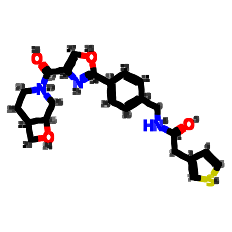 O=C(Cc1ccsc1)NCc1ccc(-c2nc(C(=O)N3CCC4COC4C3)co2)cc1